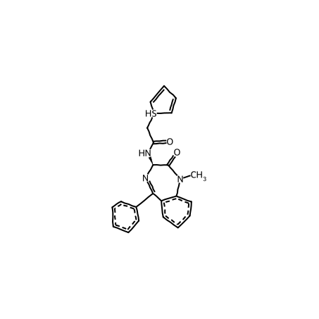 CN1C(=O)[C@H](NC(=O)C[SH]2C=CC=C2)N=C(c2ccccc2)c2ccccc21